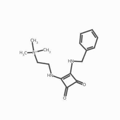 C[N+](C)(C)CCNc1c(NCc2ccccc2)c(=O)c1=O